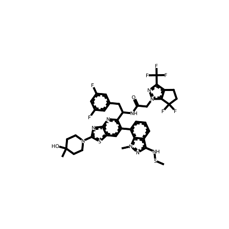 CSNc1nn(C)c2c(-c3cc4sc(N5CCC(C)(O)CC5)nc4nc3C(Cc3cc(F)cc(F)c3)NC(=O)Cn3nc(C(F)(F)F)c4c3C(F)(F)CC4)cccc12